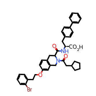 O=C(N[C@@H](Cc1ccc(-c2ccccc2)cc1)C(=O)O)C1Cc2ccc(OCCc3ccccc3Br)cc2CN1C(=O)CC1CCCC1